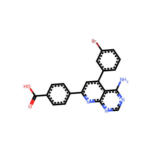 Nc1ncnc2nc(-c3ccc(C(=O)O)cc3)cc(-c3cccc(Br)c3)c12